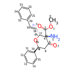 COC(=O)[C@]1(N)C(=O)C[C@@H](c2ccccc2)O[C@@H]1/C=C/c1ccccc1